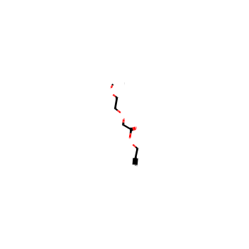 C#CCOC(=O)COCCOC